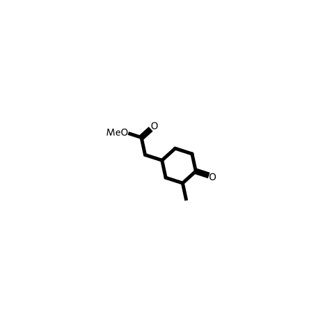 COC(=O)CC1CCC(=O)C(C)C1